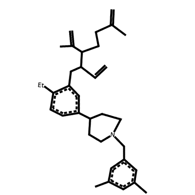 C=CC(Cc1cc(C2CCN(Cc3cc(C)cc(C)c3)CC2)ccc1CC)C(CCC(=C)C)C(=C)C